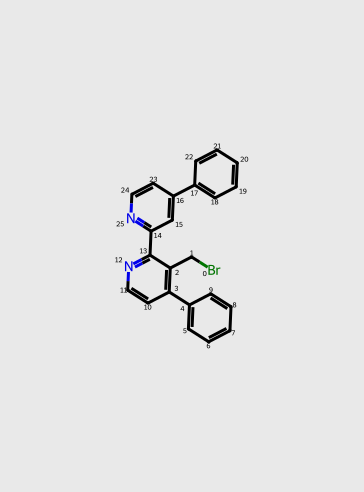 BrCc1c(-c2ccccc2)ccnc1-c1cc(-c2ccccc2)ccn1